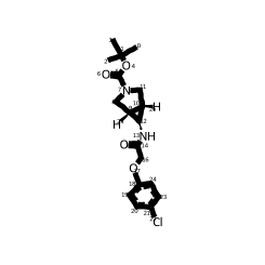 CC(C)(C)OC(=O)N1C[C@@H]2[C@H](C1)[C@@H]2NC(=O)COc1ccc(Cl)cc1